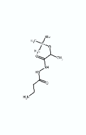 CC(O[Si](C)(C)C(C)(C)C)C(=O)NNC(=O)CCN